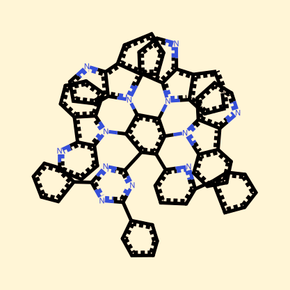 c1ccc(-c2cccc(-c3c(-c4nc(-c5ccccc5)nc(-c5ccccc5)n4)c(-n4c5ccccc5c5ncccc54)c(-n4c5ccccc5c5ncccc54)c(-n4c5ccccc5c5ncccc54)c3-n3c4ccccc4c4ncccc43)n2)cc1